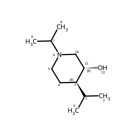 CC(C)[C@H]1CCN(C(C)C)C[C@@H]1O